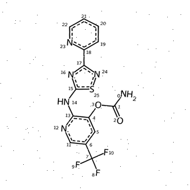 NC(=O)Oc1cc(C(F)(F)F)cnc1Nc1nc(-c2ccccn2)ns1